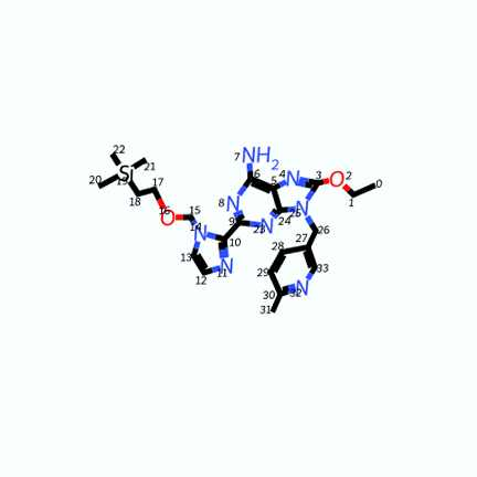 CCOc1nc2c(N)nc(-c3nccn3COCC[Si](C)(C)C)nc2n1Cc1ccc(C)nc1